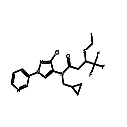 CCSC(CC(=O)N(CC1CC1)c1cn(-c2cccnc2)nc1Cl)C(F)(F)F